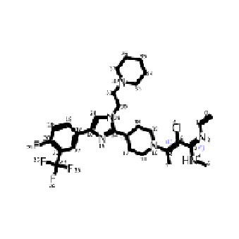 C=C/N=C(NC)\C(Cl)=C(/C)N1CCC(c2nc(-c3ccc(F)c(C(F)(F)F)c3)cn2CCN2CCCCC2)CC1